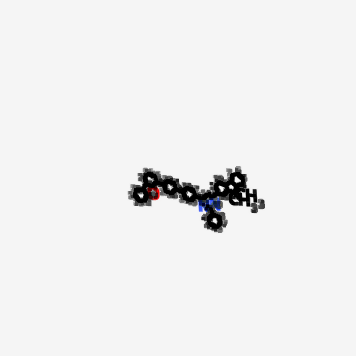 CC1(C)c2ccccc2-c2ccc(-c3cc(-c4ccc(-c5ccc(-c6cccc7c6oc6ccccc67)cc5)cc4)nc(-c4ccccc4)n3)cc21